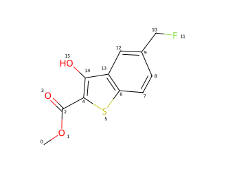 COC(=O)c1sc2ccc(CF)cc2c1O